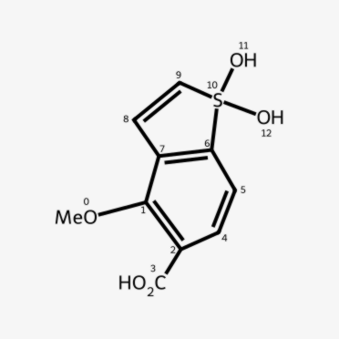 COc1c(C(=O)O)ccc2c1C=CS2(O)O